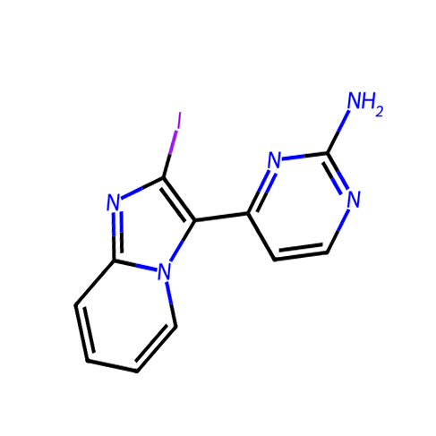 Nc1nccc(-c2c(I)nc3ccccn23)n1